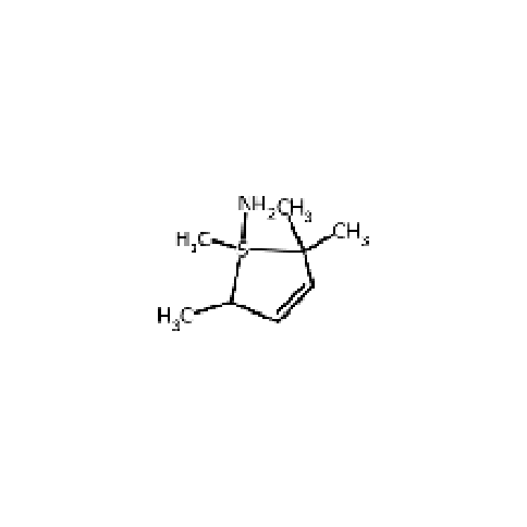 CC1C=CC(C)(C)S1(C)N